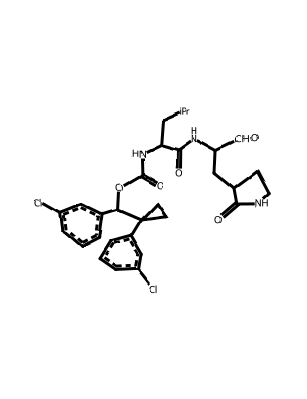 CC(C)CC(NC(=O)OC(c1cccc(Cl)c1)C1(c2cccc(Cl)c2)CC1)C(=O)NC(C=O)CC1CCNC1=O